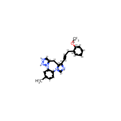 Cc1ccc2c(c1)-n1nncc1Cc1c(C#CCc3ccccc3OC(F)(F)F)ncn1-2